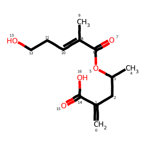 C=C(CC(C)OC(=O)C(C)=CCCO)C(=O)O